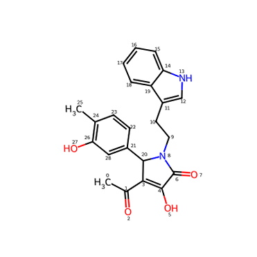 CC(=O)C1=C(O)C(=O)N(CCc2c[nH]c3ccccc23)C1c1ccc(C)c(O)c1